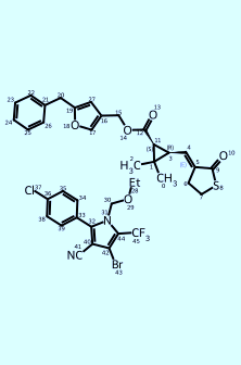 CC1(C)[C@H](/C=C2\CCSC2=O)[C@@H]1C(=O)OCc1coc(Cc2ccccc2)c1.CCOCn1c(-c2ccc(Cl)cc2)c(C#N)c(Br)c1C(F)(F)F